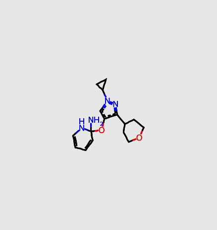 NC1(Oc2cn(C3CC3)nc2C2CCOCC2)C=CC=CN1